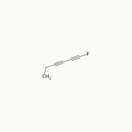 [CH2]CC#CC#CF